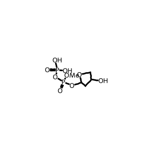 COP(=O)(OC1CC(O)CO1)OP(=O)(O)O